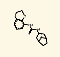 CN1C2CCC1CC(NC(=O)Nc1cccc3c1OCCO3)C2